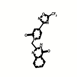 O=c1[nH]c(Cn2ccc(-c3noc(C(F)(F)F)n3)cc2=O)nc2ccccc12